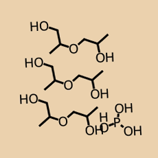 CC(O)COC(C)CO.CC(O)COC(C)CO.CC(O)COC(C)CO.OP(O)O